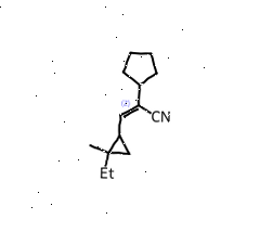 CCC1(C)CC1/C=C(\C#N)C1CCCC1